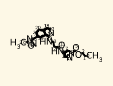 CCCOC(=O)n1cc(NC(=O)CCNc2nccc3ccc(-c4noc(C)n4)cc23)cn1